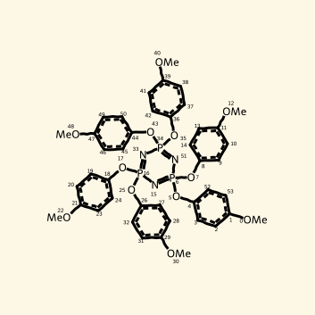 COc1ccc(OP2(Oc3ccc(OC)cc3)=NP(Oc3ccc(OC)cc3)(Oc3ccc(OC)cc3)=NP(Oc3ccc(OC)cc3)(Oc3ccc(OC)cc3)=N2)cc1